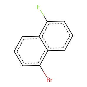 Fc1cccc2c(Br)[c]ccc12